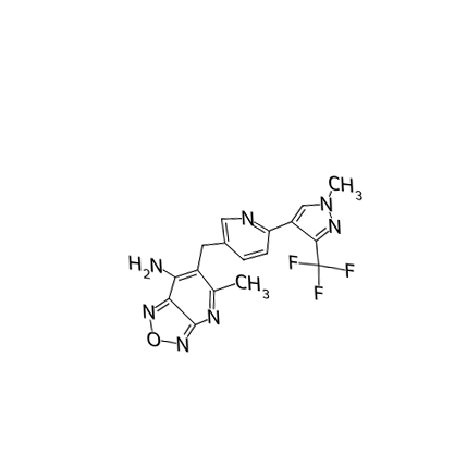 Cc1nc2nonc2c(N)c1Cc1ccc(-c2cn(C)nc2C(F)(F)F)nc1